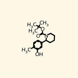 Cc1ccc(C2CCCCN2C(=O)OC(C)(C)C)cc1O